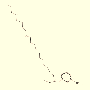 CCCCCCCCCCCCCCCCCCCC[C@H](CC)Oc1cccc(C#N)c1